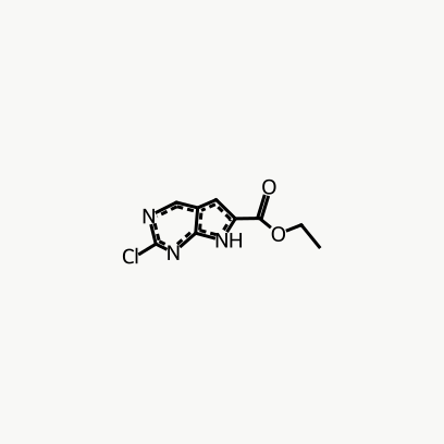 CCOC(=O)c1cc2cnc(Cl)nc2[nH]1